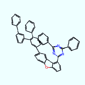 c1ccc(-c2cccc(-c3cc(-c4ccc5oc6cccc(-c7nc(-c8ccccc8)nc(-c8ccccc8)n7)c6c5c4)ccc3-c3ccccc3)c2)cc1